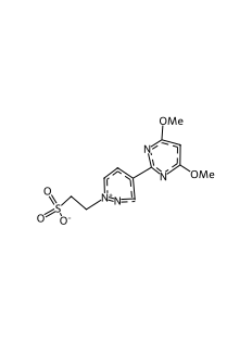 COc1cc(OC)nc(-c2cc[n+](CCS(=O)(=O)[O-])nc2)n1